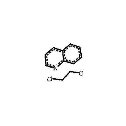 ClCCCl.c1ccc2ncccc2c1